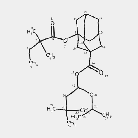 CCC(C)(C)C(=O)OC12CC3CC(C1)CC(C(=O)OC(CC(C)(C)C)OC(C)C)(C3)C2